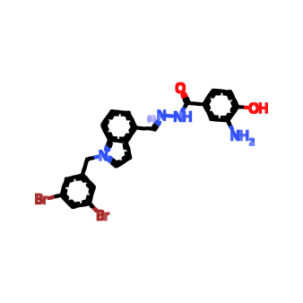 Nc1cc(C(=O)N/N=C/c2cccc3c2ccn3Cc2cc(Br)cc(Br)c2)ccc1O